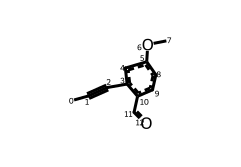 CC#Cc1cc(OC)ccc1C=O